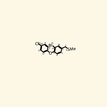 CSCc1ccc(Oc2ccc(Cl)cc2)c(Br)c1